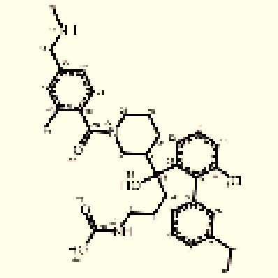 CCc1cccc(-c2c(Cl)cccc2C(O)(CCCNC(=O)O)C2CCCN(C(=O)c3ccc(CNC)cc3C)C2)c1